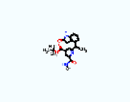 C=C(c1cc(C(=O)OC(C)(C)C)cc(C(=O)NC)n1)c1cccc2c1CC(=O)N2